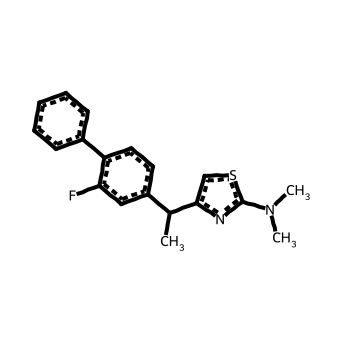 CC(c1ccc(-c2ccccc2)c(F)c1)c1csc(N(C)C)n1